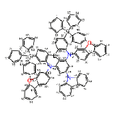 c1ccc([Si](c2ccccc2)(c2ccccc2)c2ccc3c(c2)N(c2ccc4c(c2)oc2ccccc24)c2cc(-n4c5ccccc5c5ccccc54)cc4c2B3c2ccc([Si](c3ccccc3)(c3ccccc3)c3ccccc3)cc2N4c2ccc3c(c2)oc2ccccc23)cc1